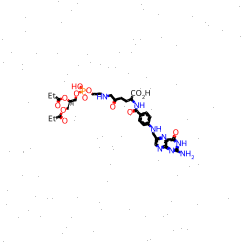 CCC(=O)OC[C@H](COP(=O)(O)OCCNCC(=O)CCC(NC(=O)c1ccc(NCc2cnc3nc(N)[nH]c(=O)c3n2)cc1)C(=O)O)OC(=O)CC